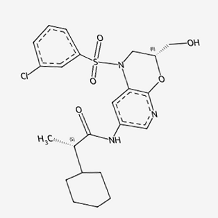 C[C@H](C(=O)Nc1cnc2c(c1)N(S(=O)(=O)c1cccc(Cl)c1)C[C@H](CO)O2)C1CCCCC1